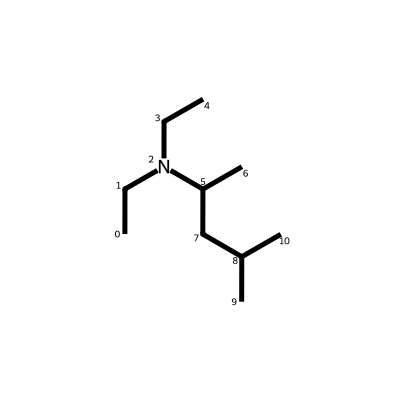 CCN(CC)C(C)CC(C)C